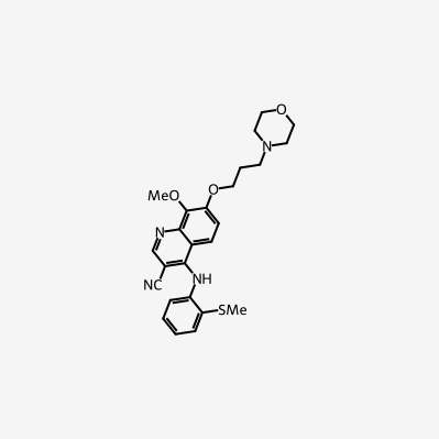 COc1c(OCCCN2CCOCC2)ccc2c(Nc3ccccc3SC)c(C#N)cnc12